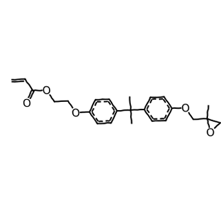 C=CC(=O)OCCOc1ccc(C(C)(C)c2ccc(OCC3(C)CO3)cc2)cc1